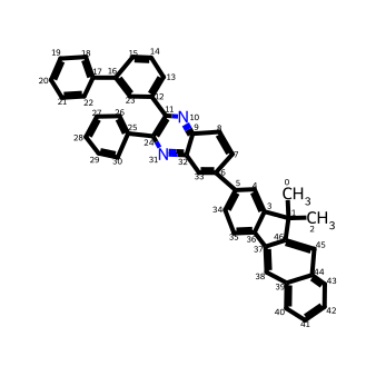 CC1(C)c2cc(-c3ccc4nc(-c5cccc(-c6ccccc6)c5)c(-c5ccccc5)nc4c3)ccc2-c2cc3ccccc3cc21